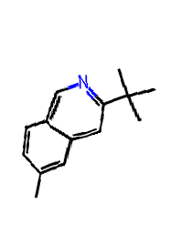 Cc1ccc2cnc(C(C)(C)C)cc2c1